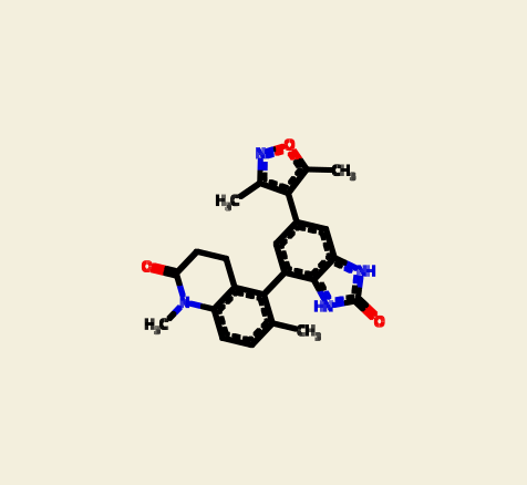 Cc1ccc2c(c1-c1cc(-c3c(C)noc3C)cc3[nH]c(=O)[nH]c13)CCC(=O)N2C